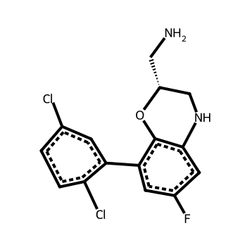 NC[C@@H]1CNc2cc(F)cc(-c3cc(Cl)ccc3Cl)c2O1